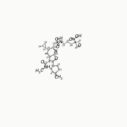 CNC(=O)c1c(-c2ccc(C)cc2)oc2nc(CS(=O)(=O)NCCCC3(C(=O)O)COC3)c(C3CC3)cc12